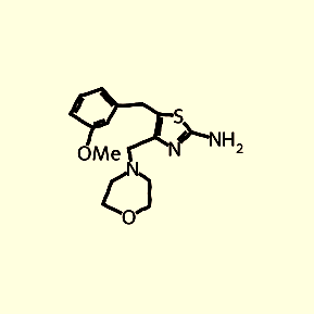 COc1cccc(Cc2sc(N)nc2CN2CCOCC2)c1